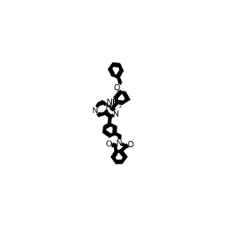 N[N+]12C=CN=CC1=C(c1cccc(CN3C(=O)c4ccccc4C3=O)c1)N=C2c1cccc(OCc2ccccc2)c1